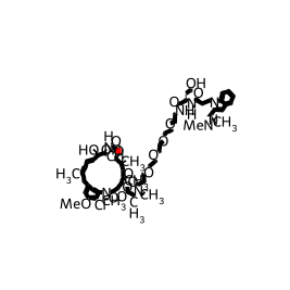 CNN(C)Cc1cc2ccccc2n1CCC(=O)N[C@@H](CCO)C(=O)NCCOCCOCCOCCOCCC(=O)N(C)[C@@H](C)C(=O)O[C@H]1CC(=O)N(C)c2cc(cc(OC)c2Cl)C/C(C)=C/C=C/[C@@H](O)[C@@]2(O)C[C@H](OC(=O)N2)[C@@H](C)C2O[C@]21C